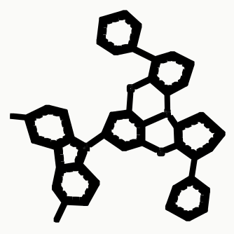 Cc1ccc2c(c1)c1cc(C)ccc1n2-c1cc2c3c(c1)Oc1c(cccc1-c1ccccc1)B3c1cccc(-c3ccccc3)c1O2